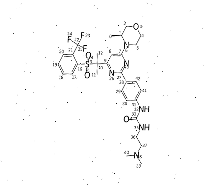 C[C@H]1COCCN1c1cc(C(C)(C)S(=O)(=O)c2ccccc2C(F)(F)F)nc(-c2ccc(NC(=O)NCCN(C)C)cc2)n1